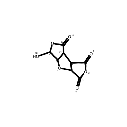 O=C1OC(=O)C2C1OC1C(O)OC(=O)C12